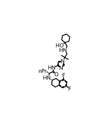 CCC[C@H](N[C@H]1CCc2cc(F)cc(F)c2C1)C(=O)Nc1cn(C(C)(C)CNCC2(O)CCCCC2)cn1